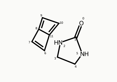 O=C1NCCN1.c1cc2ccc1-2